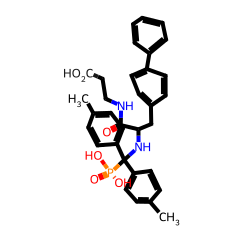 Cc1ccc(C(NC(Cc2ccc(-c3ccccc3)cc2)C(=O)NCCC(=O)O)(c2ccc(C)cc2)P(=O)(O)O)cc1